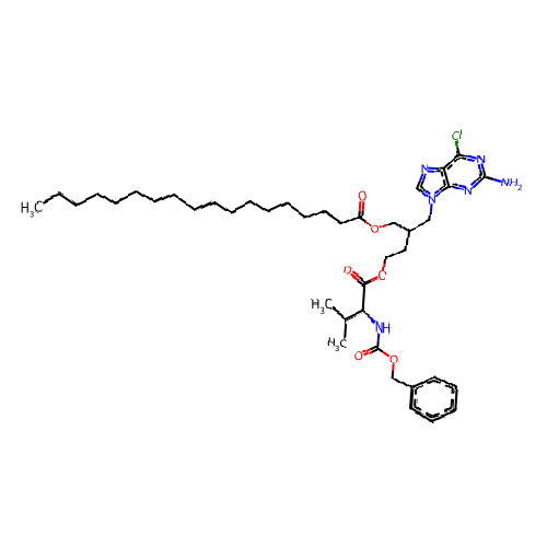 CCCCCCCCCCCCCCCCCC(=O)OCC(CCOC(=O)[C@@H](NC(=O)OCc1ccccc1)C(C)C)Cn1cnc2c(Cl)nc(N)nc21